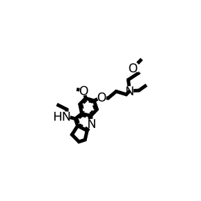 CCNc1c2c(nc3cc(OCCCN(CC)CCOC)c(OC)cc13)CCC2